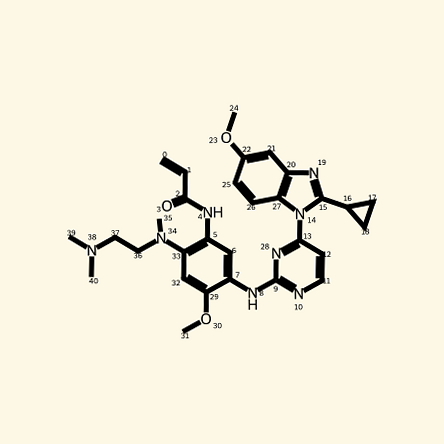 C=CC(=O)Nc1cc(Nc2nccc(-n3c(C4CC4)nc4cc(OC)ccc43)n2)c(OC)cc1N(C)CCN(C)C